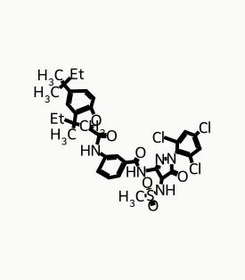 CCC(C)(C)c1ccc(OCC(=O)Nc2cccc(C(=O)NC3=NN(c4c(Cl)cc(Cl)cc4Cl)C(=O)C3NS(C)(=O)=O)c2)c(C(C)(C)CC)c1